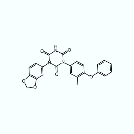 Cc1cc(-n2c(=O)[nH]c(=O)n(-c3ccc4c(c3)OCO4)c2=O)ccc1Oc1ccccc1